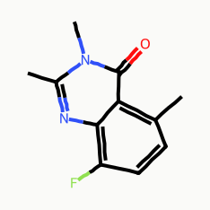 Cc1ccc(F)c2nc(C)n(C)c(=O)c12